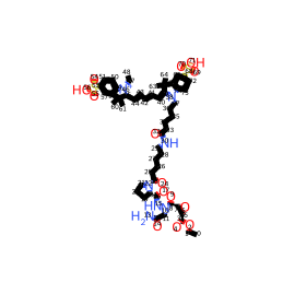 CCOC(=O)[C@H]1O[C@@H]1C(=O)N(CC(N)=O)NC(=O)[C@@H]1CCCN1C(=O)CCCCCNC(=O)CCCCCN1/C(=C/C=C/C=C/C2=[N+](CC)c3ccc(S(=O)(=O)O)cc3C2(C)C)C(C)(C)c2cc(S(=O)(=O)O)ccc21